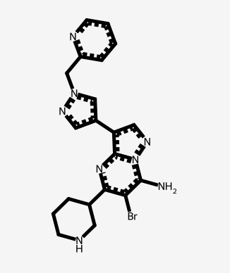 Nc1c(Br)c(C2CCCNC2)nc2c(-c3cnn(Cc4ccccn4)c3)cnn12